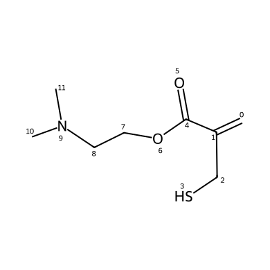 C=C(CS)C(=O)OCCN(C)C